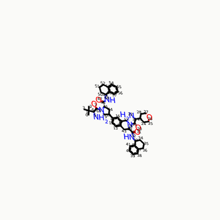 CC(C)(C)[C@H](N)C(=O)N1CC(c2ccc3c(c2)CN(C(=O)C(N)C2CCOCC2)C(C(=O)NC2CCCc4ccccc42)C3)C[C@H]1C(=O)NC1CCCc2ccccc21